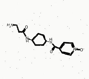 NCCC(=O)N[C@H]1CC[C@H](NC(=O)c2cc[n+]([O-])cc2)CC1